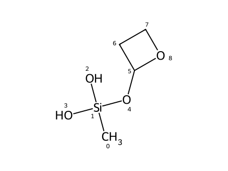 C[Si](O)(O)OC1CCO1